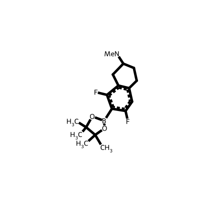 CNC1CCc2cc(F)c(B3OC(C)(C)C(C)(C)O3)c(F)c2C1